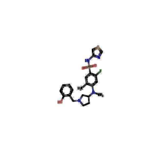 Cc1cc(S(=O)(=O)Nc2cscn2)c(F)cc1N(C)C1CCN(Cc2ccccc2O)C1